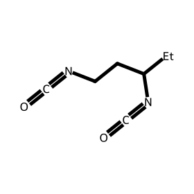 CCC(CCN=C=O)N=C=O